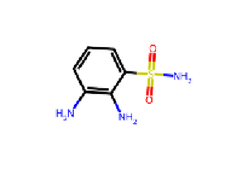 Nc1cccc(S(N)(=O)=O)c1N